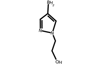 Bc1cnn(CCO)c1